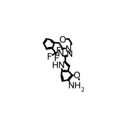 COc1c(N)ccc2[nH]c(-c3nc4n(n3)CCOC4c3ccccc3C(F)(F)F)cc12